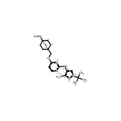 CC(=O)NC12CCC(COc3ccnc(Nc4cn(C(C)(C)C#N)nc4C)n3)(CC1)CC2